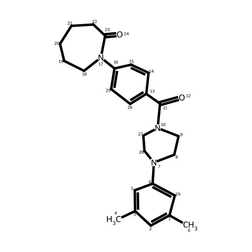 Cc1cc(C)cc(N2CCN(C(=O)c3ccc(N4CCCCCC4=O)cc3)CC2)c1